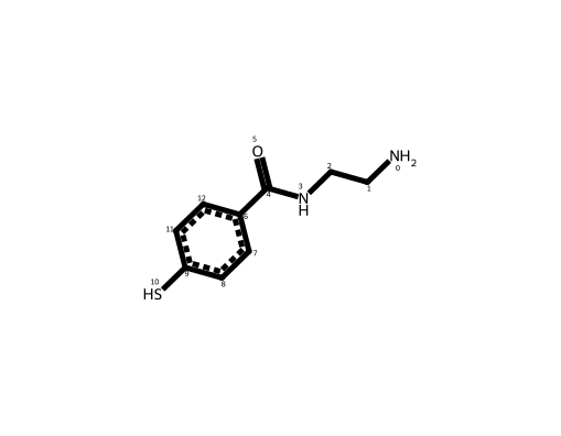 NCCNC(=O)c1ccc(S)cc1